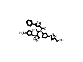 NC1CCC(n2nncc2C(O)N(C(=O)c2cc(-c3ccccc3)on2)C2CCC(n3cc(CO)nn3)C2)C1